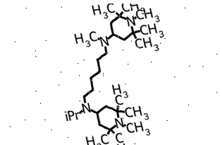 CC(C)N(CCCCCCN(C)C1CC(C)(C)N(C)C(C)(C)C1)C1CC(C)(C)N(C)C(C)(C)C1